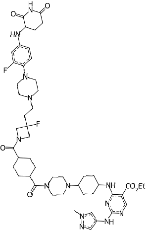 CCOC(=O)c1cnc(Nc2cnn(C)c2)nc1NC1CCC(N2CCN(C(=O)C3CCC(C(=O)N4CC(F)(CCN5CCN(c6ccc(NC7CCC(=O)NC7=O)cc6F)CC5)C4)CC3)CC2)CC1